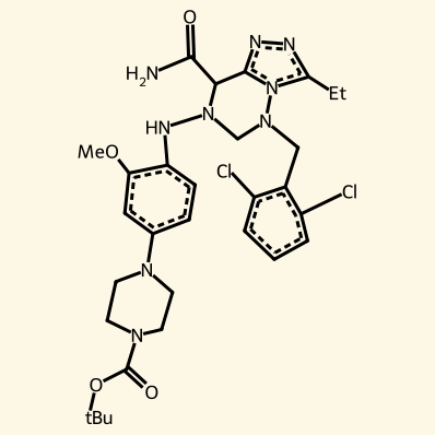 CCc1nnc2n1N(Cc1c(Cl)cccc1Cl)CN(Nc1ccc(N3CCN(C(=O)OC(C)(C)C)CC3)cc1OC)C2C(N)=O